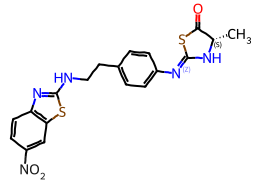 C[C@@H]1N/C(=N/c2ccc(CCNc3nc4ccc([N+](=O)[O-])cc4s3)cc2)SC1=O